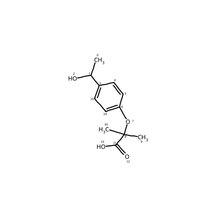 CC(O)c1ccc(OC(C)(C)C(=O)O)cc1